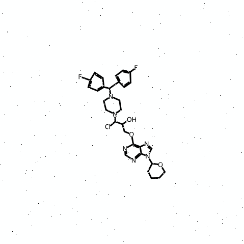 OC(COc1ncnc2c1ncn2C1CCCCO1)C(Cl)N1CCN(C(c2ccc(F)cc2)c2ccc(F)cc2)CC1